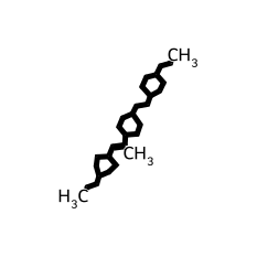 CCCC1CCC(/C=C(\C)C2CCC(CCC3CCC(CCC)CC3)CC2)CC1